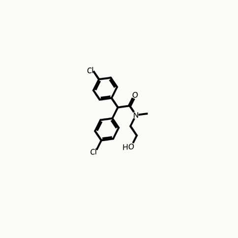 CN(CCO)C(=O)C(c1ccc(Cl)cc1)c1ccc(Cl)cc1